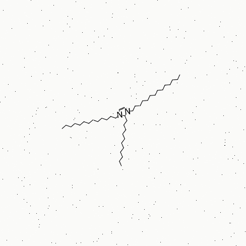 CCCCCCCCCCCCCCN1C=CN(CCCCCCCCCCCCC)C1CCCCCCCCCCC